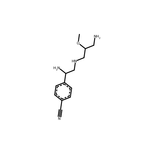 COC(CN)CNCC(N)c1ccc(C#N)cc1